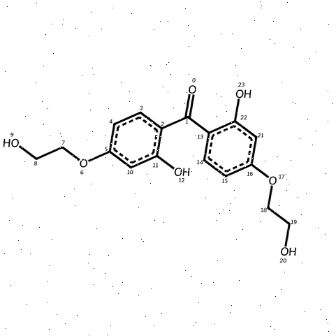 O=C(c1ccc(OCCO)cc1O)c1ccc(OCCO)cc1O